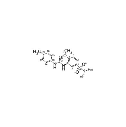 COc1ccc(S(=O)(=O)C(F)F)cc1NC(=O)Nc1ccc(C)cc1